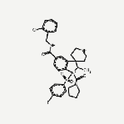 CC1C2(CCNCC2)c2cc(C(=O)NCc3ccccc3Cl)ccc2[N+]1(C(=O)N1CCCC1)S(=O)(=O)c1ccc(F)cc1